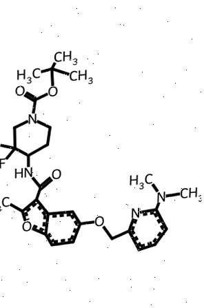 Cc1oc2ccc(OCc3cccc(N(C)C)n3)cc2c1C(=O)NC1CCN(C(=O)OC(C)(C)C)CC1(F)F